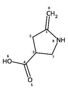 C=C1CC(C(=O)O)CN1